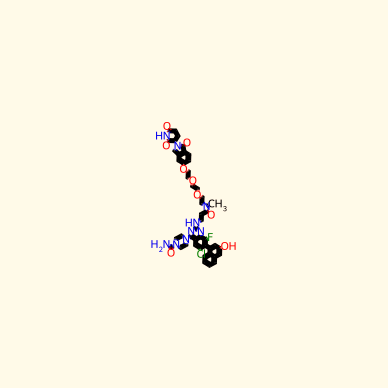 CN(CCOCCOCCOc1ccc2c(c1)CN(C1CCC(=O)NC1=O)C2=O)C(=O)CCNc1nc(N2CCN(C(N)=O)CC2)c2cc(Cl)c(-c3cc(O)cc4ccccc34)c(F)c2n1